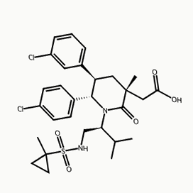 CC(C)[C@@H](CNS(=O)(=O)C1(C)CC1)N1C(=O)[C@@](C)(CC(=O)O)C[C@H](c2cccc(Cl)c2)[C@H]1c1ccc(Cl)cc1